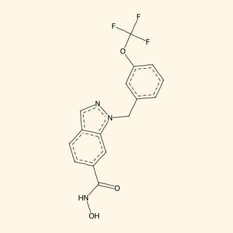 O=C(NO)c1ccc2cnn(Cc3cccc(OC(F)(F)F)c3)c2c1